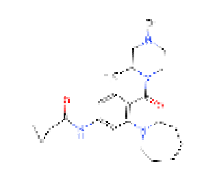 CC1CN(C)CCN1C(=O)c1ccc(NC(=O)C2CC2)cc1N1CCCCCC1